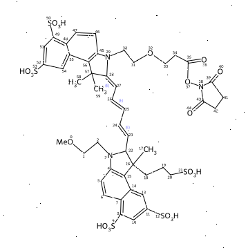 COCCN1c2ccc3c(S(=O)(=O)O)cc(S(=O)(=O)O)cc3c2C(C)(CCCS(=O)(=O)O)C1/C=C/C=C/C=C1/N(CCOCCC(=O)ON2C(=O)CCC2=O)c2ccc3c(S(=O)(=O)O)cc(S(=O)(=O)O)cc3c2C1(C)C